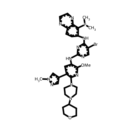 COc1nc(N2CCN(C3CCOCC3)CC2)c(-c2cnn(C)c2)cc1Nc1ncc(Br)c(Nc2ccc3nccnc3c2P(C)C)n1